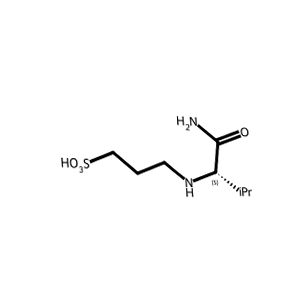 CC(C)[C@H](NCCCS(=O)(=O)O)C(N)=O